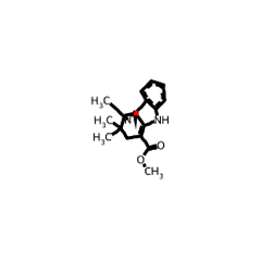 COC(=O)C1=C2Nc3ccccc3C23CCN(C)C3C(C)(C)C1